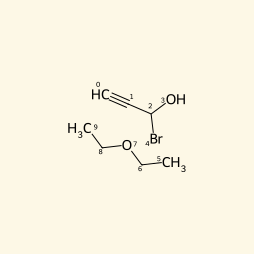 C#CC(O)Br.CCOCC